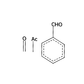 C=O.CC(C)=O.O=Cc1ccccc1